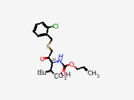 C=CCOC(=O)N[C@H](C(=O)CSCc1ccccc1Cl)C(C(=O)O)C(C)(C)C